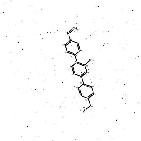 C=Nc1ccc(-c2ccc(-c3ccc(CC)cc3)cc2F)cc1